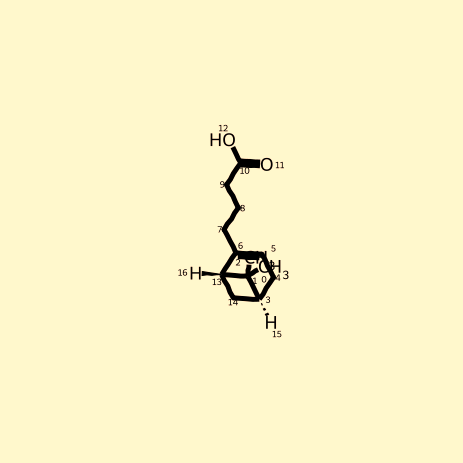 CC1(C)[C@H]2CC=C(CCCC(=O)O)[C@H]1C2